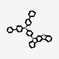 c1ccc(-c2ccc(N(c3ccc(-c4ccccc4)cc3)c3ccc(-n4c5ccccc5c5cc6c(cc54)oc4ccccc46)cc3)cc2)cc1